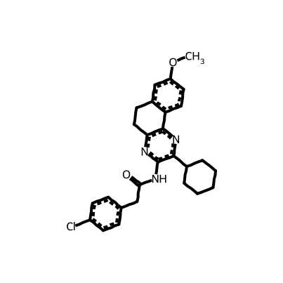 COc1ccc2c(c1)CCc1nc(NC(=O)Cc3ccc(Cl)cc3)c(C3CCCCC3)nc1-2